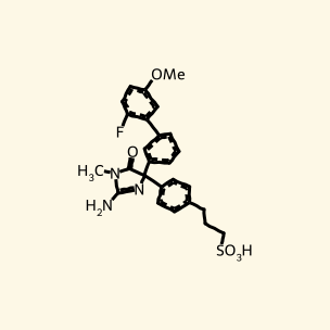 COc1ccc(F)c(-c2cccc(C3(c4ccc(CCCS(=O)(=O)O)cc4)N=C(N)N(C)C3=O)c2)c1